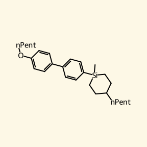 CCCCCOc1ccc(-c2ccc([Si]3(C)CCC(CCCCC)CC3)cc2)cc1